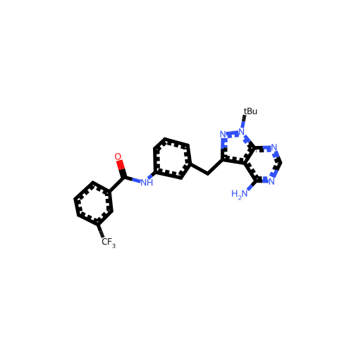 CC(C)(C)n1nc(Cc2cccc(NC(=O)c3cccc(C(F)(F)F)c3)c2)c2c(N)ncnc21